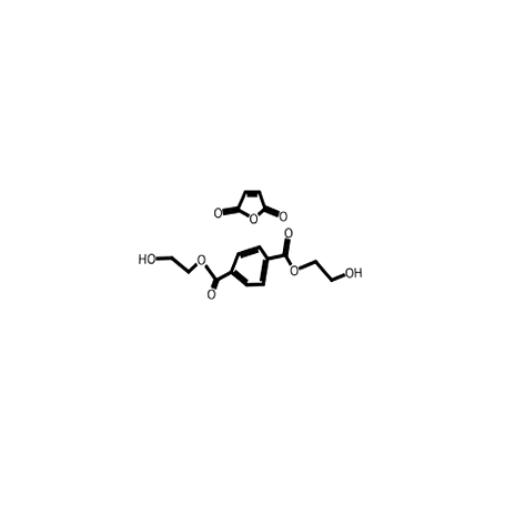 O=C(OCCO)c1ccc(C(=O)OCCO)cc1.O=C1C=CC(=O)O1